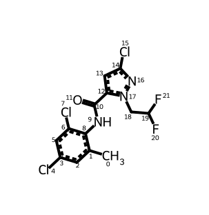 Cc1cc(Cl)cc(Cl)c1NC(=O)c1cc(Cl)nn1CC(F)F